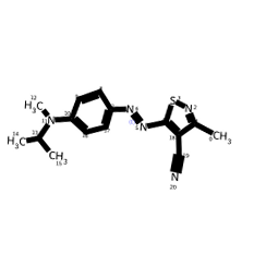 Cc1nsc(/N=N/c2ccc(N(C)C(C)C)cc2)c1C#N